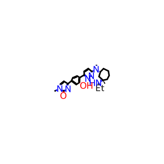 CCN[C@@]1(C)CCCC[C@@H](N(C)c2ccc(-c3ccc(-c4ccn(C)c(=O)n4)cc3O)nn2)C1